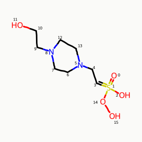 O=S(O)(=CCN1CCN(CCO)CC1)OO